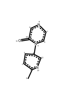 Cc1ccc(-n2ccncc2=O)cn1